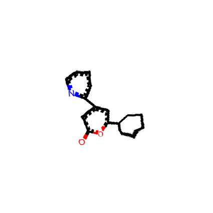 O=c1cc(-c2ccccn2)cc(C2CCCCC2)o1